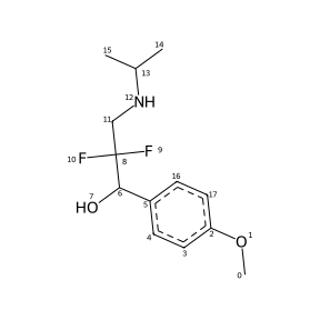 COc1ccc(C(O)C(F)(F)CNC(C)C)cc1